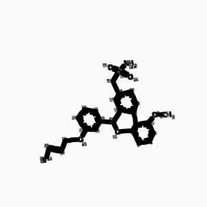 COc1cccc2c1-c1ccc(CS(N)(=O)=O)cc1C(c1cccc(OC/C=C/Br)c1)O2